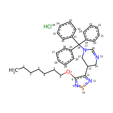 CCCCCCCOc1nsnc1C1CN=CN(C(c2ccccc2)(c2ccccc2)c2ccccc2)C1.Cl